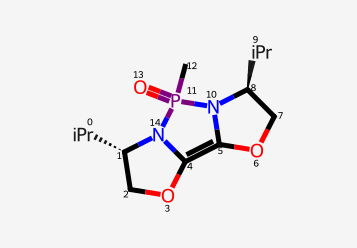 CC(C)[C@H]1COC2=C3OC[C@H](C(C)C)N3P(C)(=O)N21